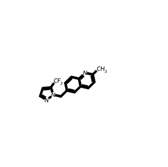 Cc1ccc2cc(Cn3nccc3C(F)(F)F)ccc2n1